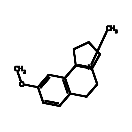 COc1ccc2c(c1)C13CCCC1(CC2)CN(C)CC3